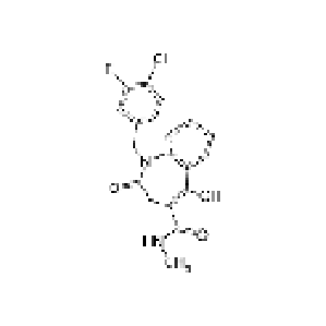 CNC(=O)C1=C(O)c2ccccc2N(Cc2ccc(Cl)c(F)c2)C(=O)C1